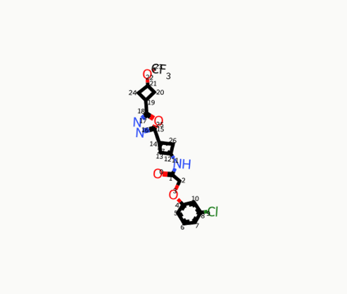 O=C(COc1cccc(Cl)c1)NC12CC(c3nnc(C4CC(OC(F)(F)F)C4)o3)(C1)C2